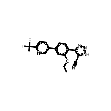 CCOc1cc(-c2ccc(C(F)(F)F)nc2)ccc1-c1nn[nH]c1C#N